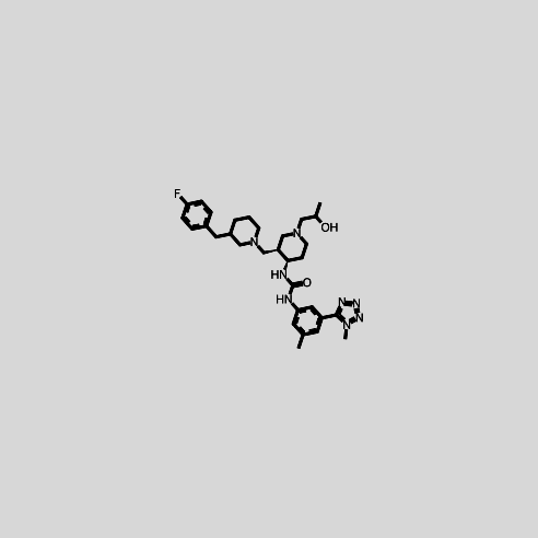 Cc1cc(NC(=O)N[C@@H]2CCN(CC(C)O)C[C@@H]2CN2CCCC(Cc3ccc(F)cc3)C2)cc(-c2nnnn2C)c1